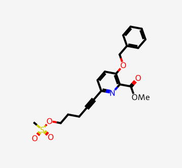 COC(=O)c1nc(C#CCCCOS(C)(=O)=O)ccc1OCc1ccccc1